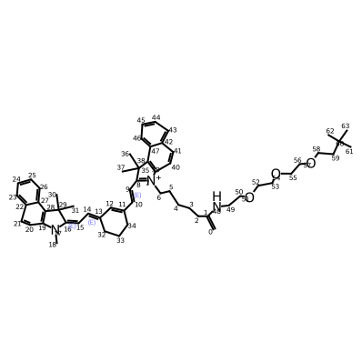 C=C(CCCCC[N+]1=C(/C=C/C2=CC(=C/C=C3/N(C)c4ccc5ccccc5c4C3(C)C)/CCC2)C(C)(C)c2c1ccc1ccccc21)NCCOCCOCCOCCC(C)(C)C